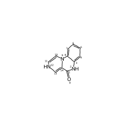 O=C1Nc2ccccc2N2C=CNC=C12